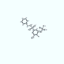 Cc1c(Cl)cc(S(=O)(=O)OCc2ccccc2)cc1OC(F)(F)F